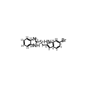 Brc1ccc2cc(CSc3nc4ccccc4[nH]3)[nH]c2c1